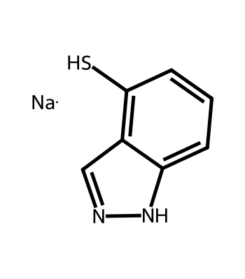 Sc1cccc2[nH]ncc12.[Na]